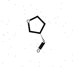 O=[C][C@H]1CCOC1